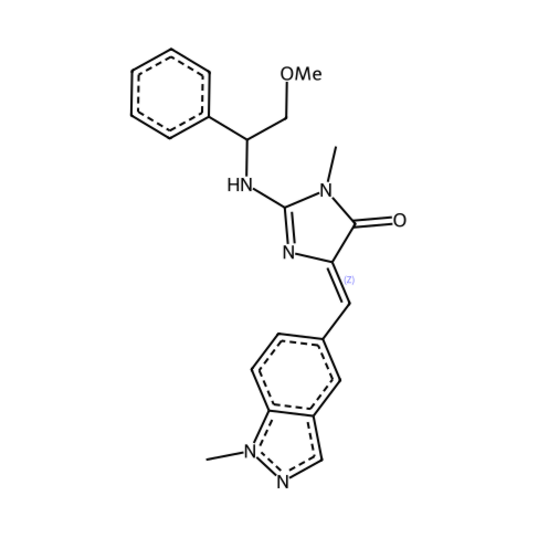 COCC(NC1=N/C(=C\c2ccc3c(cnn3C)c2)C(=O)N1C)c1ccccc1